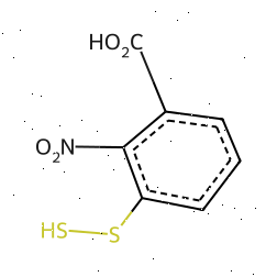 O=C(O)c1cccc(SS)c1[N+](=O)[O-]